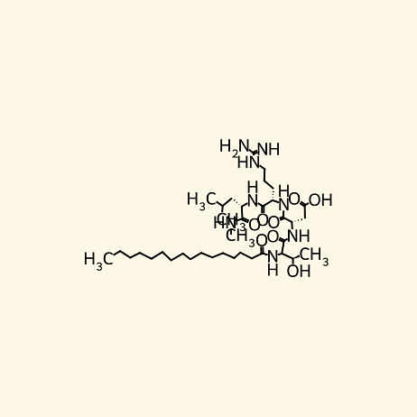 CCCCCCCCCCCCCCCC(=O)NC(C(=O)N[C@@H](CC(=O)O)C(=O)N[C@@H](CCCNC(=N)N)C(=O)N[C@@H](CC(C)C)C(=O)NC)[C@@H](C)O